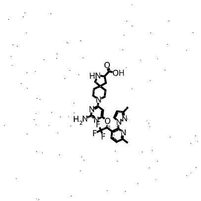 Cc1ccc([C@@H](Oc2cc(N3CCC4(CC3)CNC(C(=O)O)C4)nc(N)n2)C(F)(F)F)c(-n2ccc(C)n2)n1